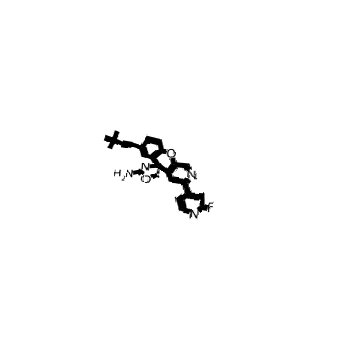 CC(C)(C)C#Cc1ccc2c(c1)[C@@]1(COC(N)=N1)c1cc(-c3ccnc(F)c3)ncc1O2